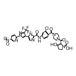 Cn1c(-c2cn(-c3ccc([N+](=O)[O-])cn3)nc2C(F)(F)F)cnc1C(=O)Nc1ccc(C(=O)N2CCN(C(=O)[C@@H]3[C@@H](O)CCN3C(=O)O)CC2)c(Cl)c1